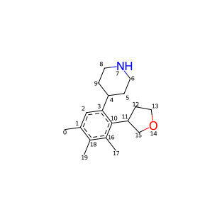 Cc1cc(C2CCNCC2)c(C2CCOC2)c(C)c1C